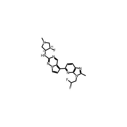 Cc1nc2ccc(-c3ccn4nc(N[C@H]5CN(C)C[C@H]5F)ncc34)nc2n1CC(F)F